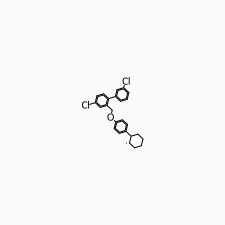 Clc1cccc(-c2ccc(Cl)cc2COc2ccc(C3[CH]CCCC3)cc2)c1